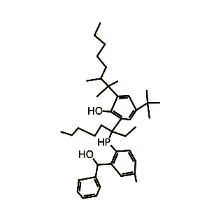 CCCCCC(C)C(C)(C)c1cc(C(C)(C)C)cc(C(CC)(CCCCC)Pc2ccc(C)cc2C(O)c2ccccc2)c1O